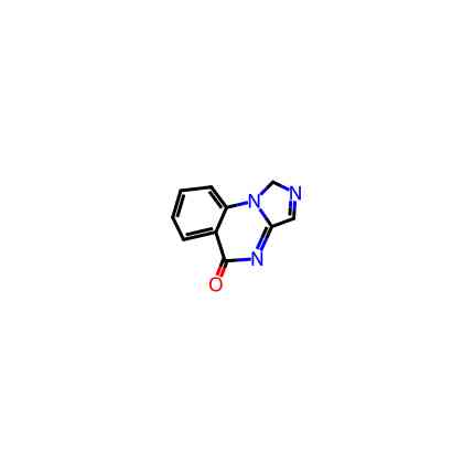 O=c1nc2n(c3ccccc13)CN=C2